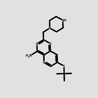 CC(C)(C)Sc1cnc2c(N)nc(CN3CCNCC3)nc2c1